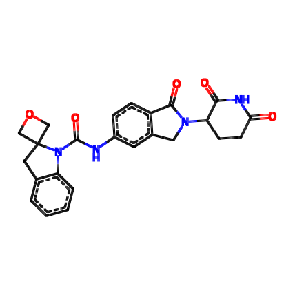 O=C1CCC(N2Cc3cc(NC(=O)N4c5ccccc5CC45COC5)ccc3C2=O)C(=O)N1